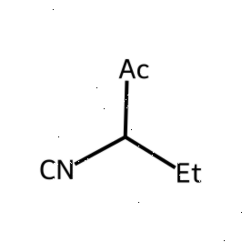 [C-]#[N+]C(CC)C(C)=O